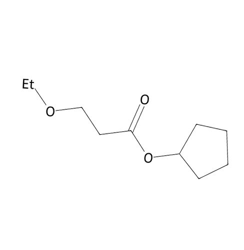 CCOCCC(=O)OC1CCCC1